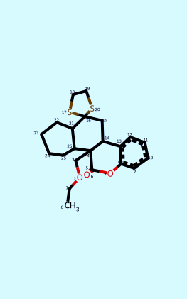 CCOCC12C(=O)Oc3ccccc3C1CC1(SCCS1)C1CCCCC12